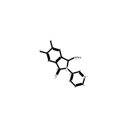 CCCCCCC1c2cc(C)c(C)cc2C(=O)N1c1cccnc1